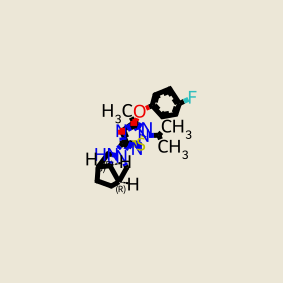 Cc1cc(N2C[C@H]3CC[C@@H](C2)[C@H]3Nc2nc(Oc3ccc(F)cc3)n(C(C)C)n2)sn1